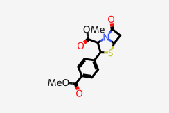 COC(=O)c1ccc(C2SC3CC(=O)N3C2C(=O)OC)cc1